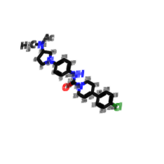 CC(=O)N(C)C1CCN(c2ccc(NC(=O)N3CC=C(c4ccc(Cl)cc4)CC3)cc2)C1